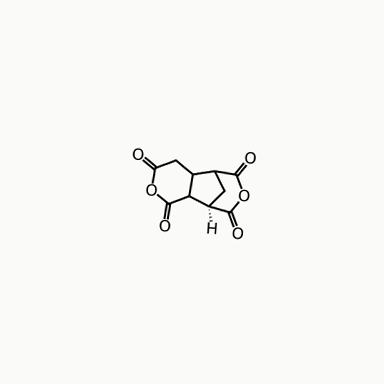 O=C1CC2C3C[C@@H](C(=O)OC3=O)C2C(=O)O1